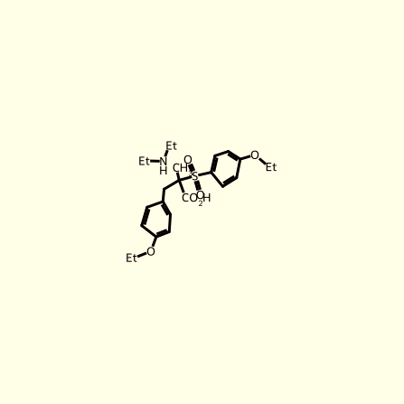 CCNCC.CCOc1ccc(CC(C)(C(=O)O)S(=O)(=O)c2ccc(OCC)cc2)cc1